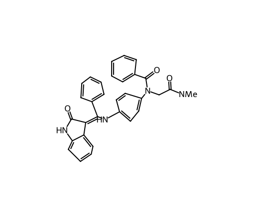 CNC(=O)CN(C(=O)c1ccccc1)c1ccc(NC(=C2C(=O)Nc3ccccc32)c2ccccc2)cc1